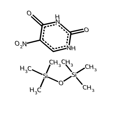 C[Si](C)(C)O[Si](C)(C)C.O=c1[nH]cc([N+](=O)[O-])c(=O)[nH]1